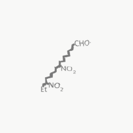 CC/C=C(/C/C=C/C/C=C(/CCCCCCC[C]=O)[N+](=O)[O-])[N+](=O)[O-]